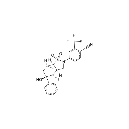 N#Cc1ccc(N2C[C@@H]3[C@@H]([C@H]4C[C@@H]3[C@](O)(c3ccccc3)C4)S2(=O)=O)cc1C(F)(F)F